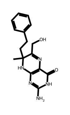 CC1(CCc2ccccc2)Nc2nc(N)[nH]c(=O)c2N=C1CO